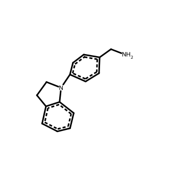 NCc1ccc(N2CCc3ccccc32)cc1